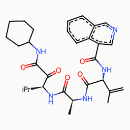 C=C(C)[C@H](NC(=O)c1cncc2ccccc12)C(=O)N[C@@H](C)C(=O)N[C@H](C(=O)C(=O)NC1CCCCC1)C(C)C